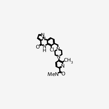 CNC(=O)c1ccc(N2CCN(Cc3ccc4c([nH]c(=O)c5ccnn54)c3Cl)CC2)c(C)n1